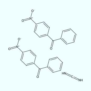 N=C=N.O=C(c1ccccc1)c1ccc([N+](=O)[O-])cc1.O=C(c1ccccc1)c1ccc([N+](=O)[O-])cc1